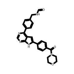 O=CNCc1ccc(-c2ncnc3[nH]c(-c4ccc(C(=O)N5CCOCC5)cc4)cc23)cc1